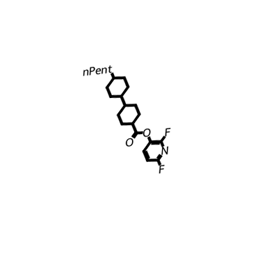 CCCCCC1CCC(C2CCC(C(=O)Oc3ccc(F)nc3F)CC2)CC1